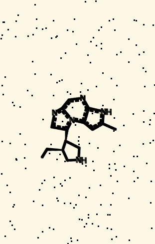 CC[C@@H]1CNC[C@@H]1c1cnc2cnc3[nH]c(C)cc3n12